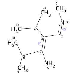 C/N=C\C(=C(/N)C(C)C)C(C)C